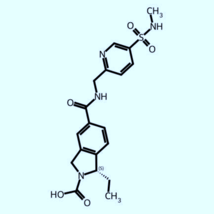 CC[C@H]1c2ccc(C(=O)NCc3ccc(S(=O)(=O)NC)cn3)cc2CN1C(=O)O